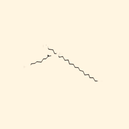 CCCCCCCCCCCCCCCCNC(CCN)OC(=O)CCCCCCC